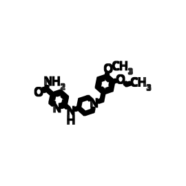 CCOc1cc(CN2CCC(Nc3ccc(C(N)=O)cn3)CC2)ccc1OC